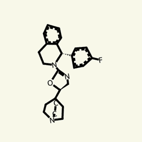 Fc1ccc([C@H]2c3ccccc3CCN2C2=NC[C@@H](C34CCN(CC3)CC4)O2)cc1